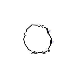 C1=C\[Se][Se][Se][Se]CCCCCCCC/C=C/1